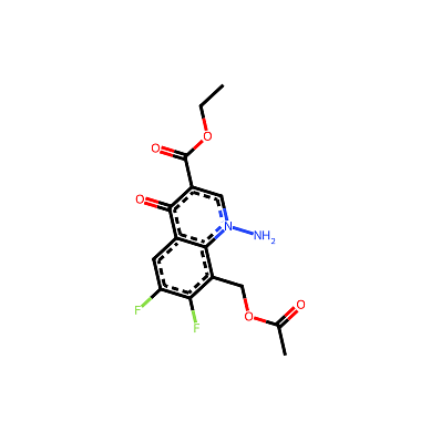 CCOC(=O)c1cn(N)c2c(COC(C)=O)c(F)c(F)cc2c1=O